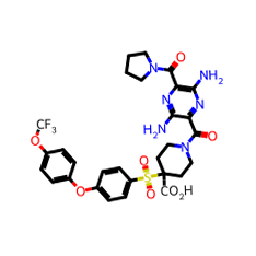 Nc1nc(C(=O)N2CCC(C(=O)O)(S(=O)(=O)c3ccc(Oc4ccc(OC(F)(F)F)cc4)cc3)CC2)c(N)nc1C(=O)N1CCCC1